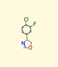 Fc1cc(C2CO[C]=N2)ccc1Cl